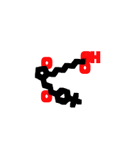 CC(C)(C)c1ccc(C(=O)C=CC2CCC(=O)C2CCCCCCC(=O)O)cc1